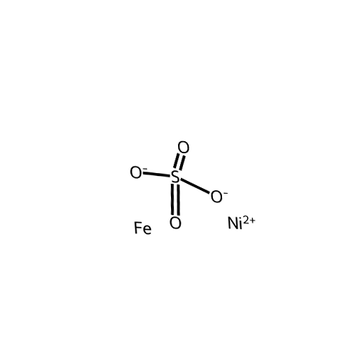 O=S(=O)([O-])[O-].[Fe].[Ni+2]